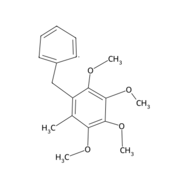 COc1c(C)c(Cc2[c]cccc2)c(OC)c(OC)c1OC